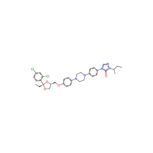 CCC(C)n1ncn(-c2ccc(N3CCN(c4ccc(OC[C@H]5CO[C@](CC)(c6ccc(Cl)cc6Cl)O5)cc4)CC3)cc2)c1=O